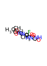 C[C@@H]1CN(C(=O)OC(C)(C)C)CCN1c1ccc(C(=O)NC2CCC(=O)NC2=O)c(F)c1